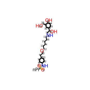 CCCS(=O)(=O)Nc1ccc(CCOCCCCCCNCC(O)c2ccc(O)c(CO)c2)cc1